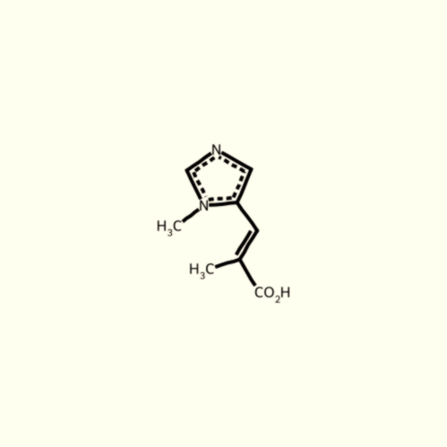 CC(=Cc1cncn1C)C(=O)O